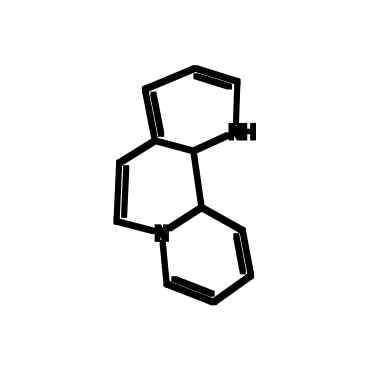 C1=CNC2C(=C1)C=CN1C=CC=CC21